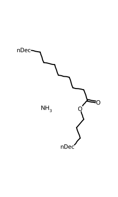 CCCCCCCCCCCCCCCCCC(=O)OCCCCCCCCCCCCC.N